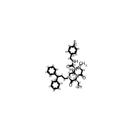 CC(C)C[C@H]1C(=O)N(CCC(c2ccccc2)c2ccccc2)C[C@H]2N1C(=O)CN(C)N2C(=O)NCc1ccc(F)cc1